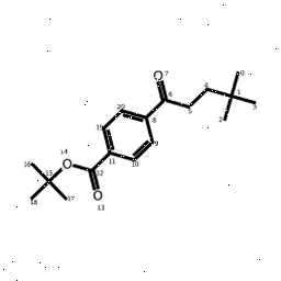 CC(C)(C)CCC(=O)c1ccc(C(=O)OC(C)(C)C)cc1